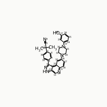 CC(C)(C#N)c1ccc(-c2n[nH]c3cnc4ccc(N5CCN(c6cccc(O)c6)CC5)cc4c23)cc1